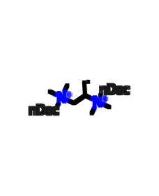 [CH2]C(C[N+](C)(C)CCCCCCCCCC)[N+](C)(C)CCCCCCCCCC